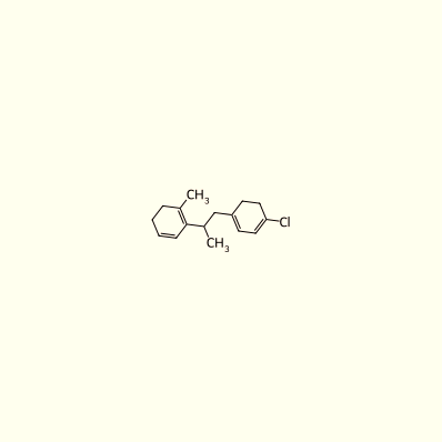 CC1=C(C(C)CC2=CC=C(Cl)CC2)C=CCC1